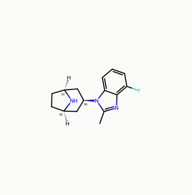 Cc1nc2c(F)cccc2n1[C@H]1C[C@H]2CC[C@@H](C1)N2